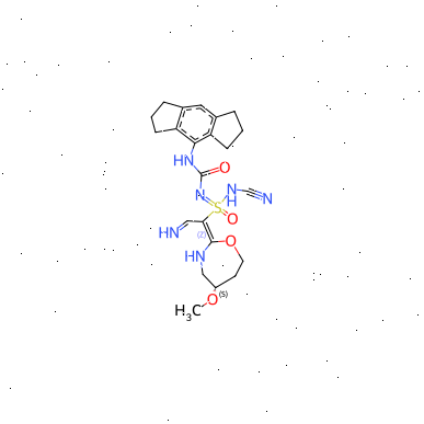 CO[C@H]1CCO/C(=C(/C=N)S(=O)(=NC(=O)Nc2c3c(cc4c2CCC4)CCC3)NC#N)NC1